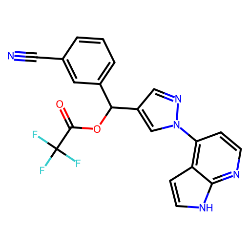 N#Cc1cccc(C(OC(=O)C(F)(F)F)c2cnn(-c3ccnc4[nH]ccc34)c2)c1